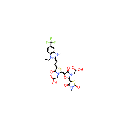 CCN1C(=CC=c2s/c(=c3/o/c(=C4/SC(=O)N(C)C4=O)n(CC(=O)O)c3=O)n(CC(=O)O)c2=O)N(C)c2cc(C(F)(F)F)ccc21